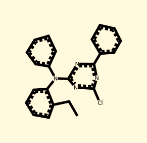 CCc1ccccc1N(c1ccccc1)c1nc(Cl)nc(-c2ccccc2)n1